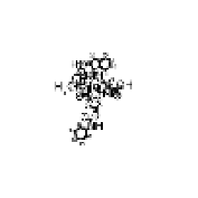 C=C[C@@H]1C[C@]1(NC(=O)[C@@H]1C[C@@H](OC(=O)Nc2ccccc2)CN1C(=O)NC(C(=O)N[C@H]1c2ccccc2C[C@H]1O)C(C)(C)C)C(=O)O